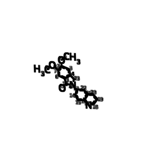 COc1cc2c(cc1OC)C(=O)N(c1ccc3ncccc3c1)C2